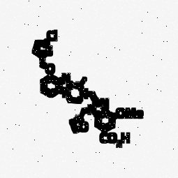 COc1cc(C(=O)O)cc2c1nc(CN1CCn3c(nc4c(OCc5ccc(Cl)s5)cccc43)[C@H]1C)n2C[C@@H]1CCO1